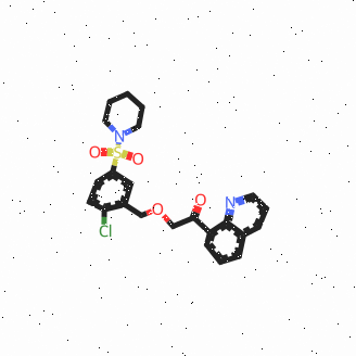 O=C(COCc1cc(S(=O)(=O)N2CCCCC2)ccc1Cl)c1cccc2cccnc12